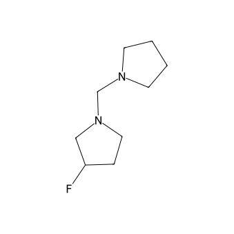 FC1CCN(CN2CCCC2)C1